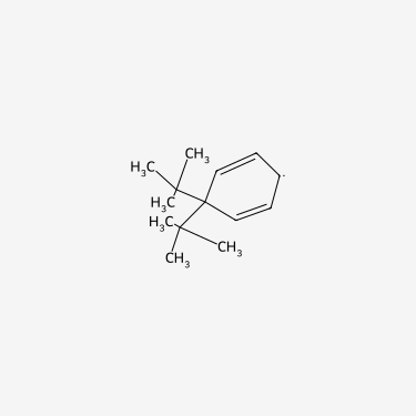 CC(C)(C)C1(C(C)(C)C)C=C[CH]C=C1